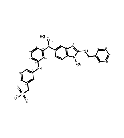 CN(c1ccc2c(c1)nc(NCc1ccccc1)n2C)c1ccnc(Nc2cccc(CS(C)(=O)=O)c2)n1.Cl